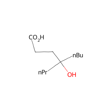 CCCCC(O)(CCC)CCC(=O)O